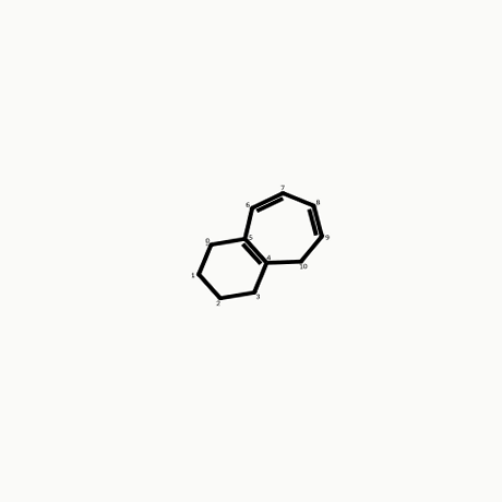 [CH]1CCCC2=C1C=CC=CC2